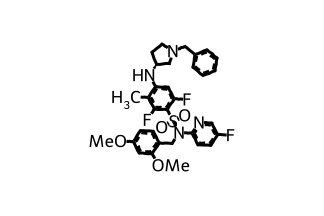 COc1ccc(CN(c2ccc(F)cn2)S(=O)(=O)c2c(F)cc(N[C@H]3CCN(Cc4ccccc4)C3)c(C)c2F)c(OC)c1